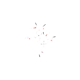 C=CC(=O)OCC(COCC(COC(=O)C=C)(COC(=O)C=C)COC(=O)NC)(COC(=O)C=C)COC(=O)C=C